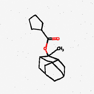 CC1(OC(=O)C2CCCC2)C2CC3CC(C2)CC1C3